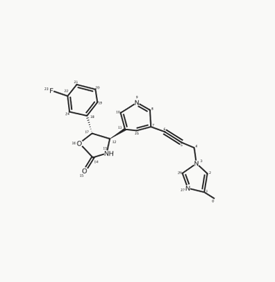 Cc1cn(CC#Cc2cncc([C@H]3NC(=O)O[C@@H]3c3cccc(F)c3)c2)cn1